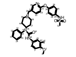 COc1ccc(NC(=O)N(c2ccccc2)C2CCN(Cc3ccc(Oc4ccc(NS(C)(=O)=O)cc4)nc3)CC2)cc1F